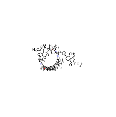 CO[C@H]1/C=C/O[C@@]2(C)Oc3c(C)c(O)c4c(c3C2=O)C(=O)C(N2CCC(=NOC3CCN(c5c(F)cn6c(=O)c(C(=O)O)cc(C7CC7)c6c5C)C3)CC2)=C(NC(=O)/C(C)=C\C=C\[C@H](C)[C@H](O)[C@@H](C)[C@@H](O)[C@@H](C)[C@H](OC(C)=O)[C@@H]1C)C4=O